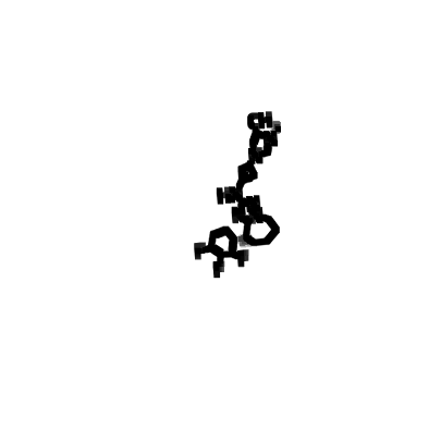 Cc1cn(C23CC(Nc4nc5n(n4)CCCC[C@@H]5c4ccc(F)c(F)c4F)(C2)C3)cn1